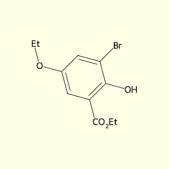 CCOC(=O)c1cc(OCC)cc(Br)c1O